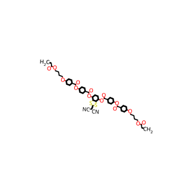 C=CC(=O)OCCCCOc1ccc(C(=O)Oc2ccc(C(=O)Oc3ccc(OC(=O)c4ccc(OC(=O)c5ccc(OCCCCOC(=O)C=C)cc5)cc4)c4c3SC(=C(C#N)C#N)S4)cc2)cc1